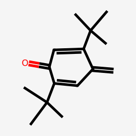 C=C1C=C(C(C)(C)C)C(=O)C=C1C(C)(C)C